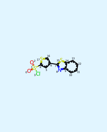 O=S(=O)(Cl)c1cc(-c2nc3ccccc3s2)cs1